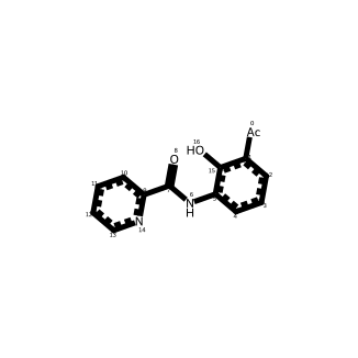 CC(=O)c1cccc(NC(=O)c2ccccn2)c1O